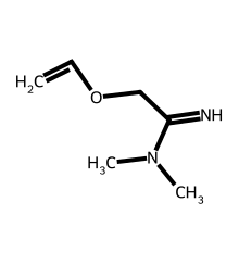 C=COCC(=N)N(C)C